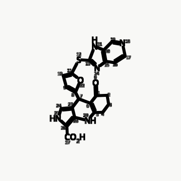 O=C1CCCC2=C1C(c1ccc(Sc3nc4ccncc4[nH]3)o1)c1c[nH]c(C(=O)O)c1N2